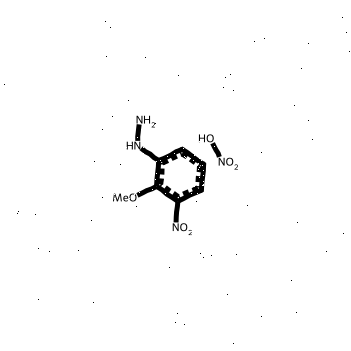 COc1c(NN)cccc1[N+](=O)[O-].O=[N+]([O-])O